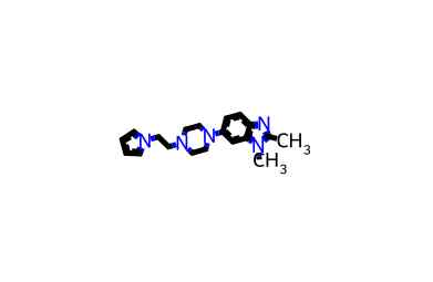 Cc1nc2ccc(N3CCN(CCn4cccc4)CC3)cc2n1C